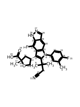 Cc1cc(-n2c(C(C)(C)CC#N)c([C@@H]3CO[C@](C)(C(=O)O)C3)c3c(F)c4[nH]ncc4cc32)ccc1F